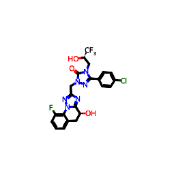 O=c1n(Cc2nc3n(n2)-c2c(F)cccc2C[C@@H]3O)nc(-c2ccc(Cl)cc2)n1C[C@H](O)C(F)(F)F